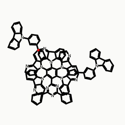 c1ccc(-c2nc(-c3ccccc3)nc(-c3c(-n4c5ccccc5c5ncccc54)c(-n4c5ccc(-c6cccc(-n7c8ccccc8c8ccccc87)c6)cc5c5ncccc54)c(-n4c5ccccc5c5ncccc54)c(-n4c5ccc(-c6cccc(-n7c8ccccc8c8ccccc87)c6)cc5c5ncccc54)c3-n3c4ccccc4c4ncccc43)n2)cc1